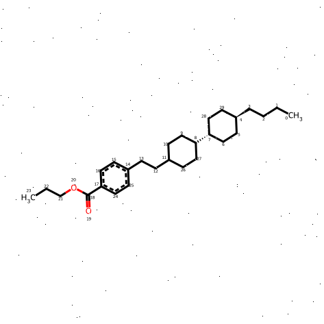 CCCC[C@H]1CC[C@H](C2CCC(CCc3ccc(C(=O)OCCC)cc3)CC2)CC1